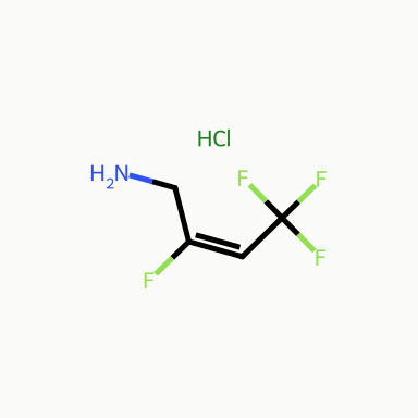 Cl.NC/C(F)=C\C(F)(F)F